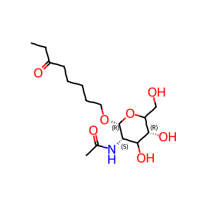 CCC(=O)CCCCCO[C@@H]1OC(CO)[C@H](O)C(O)[C@@H]1NC(C)=O